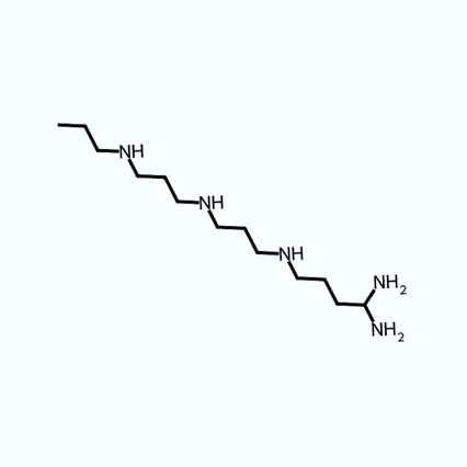 CCCNCCCNCCCNCCCC(N)N